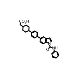 O=C(O)CC1CCC(c2ccc(-c3ccc4c(ccn4C(=O)Nc4ccccc4)c3)cc2)CC1